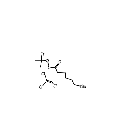 CCC(C)(C)OOC(=O)CCCCCC(C)(C)C.ClC=C(Cl)Cl